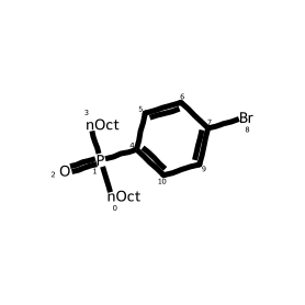 CCCCCCCCP(=O)(CCCCCCCC)c1ccc(Br)cc1